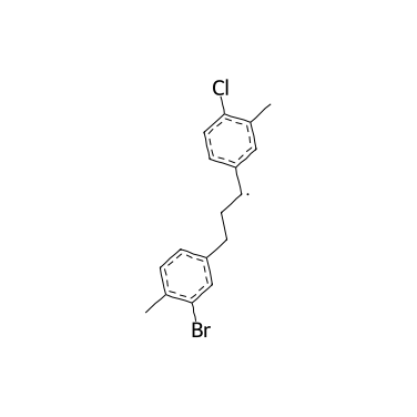 Cc1cc([CH]CCc2ccc(C)c(Br)c2)ccc1Cl